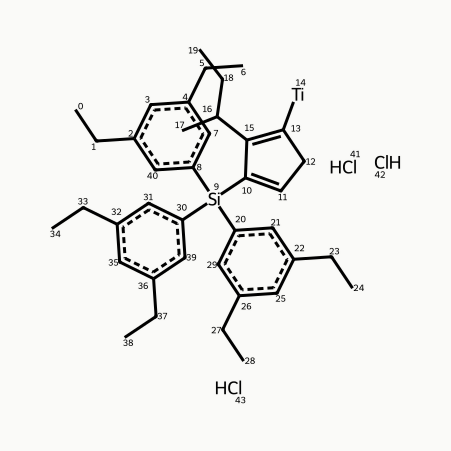 CCc1cc(CC)cc([Si](C2=CC[C]([Ti])=C2C(C)CC)(c2cc(CC)cc(CC)c2)c2cc(CC)cc(CC)c2)c1.Cl.Cl.Cl